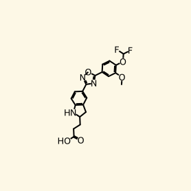 COc1cc(-c2nc(-c3ccc4c(c3)CC(CCC(=O)O)N4)no2)ccc1OC(F)F